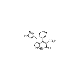 O=C(O)c1c(-c2ccccc2)c2c(Cc3c[nH]nn3)ccnc2[nH]c1=O